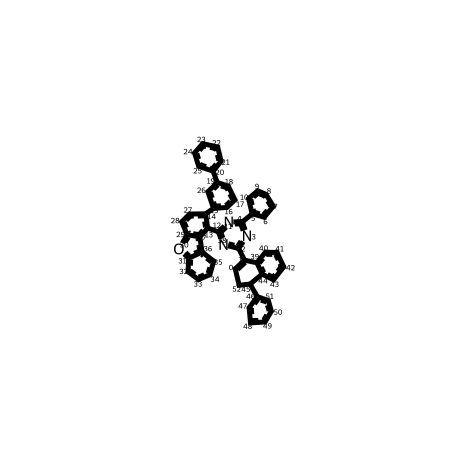 C1=C(c2nc(-c3ccccc3)nc(-c3c(-c4cccc(-c5ccccc5)c4)ccc4oc5ccccc5c34)n2)c2ccccc2C(c2ccccc2)C1